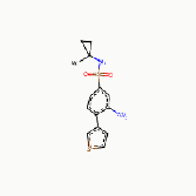 N#CC1(NS(=O)(=O)c2ccc(-c3ccsc3)c(N)c2)CC1